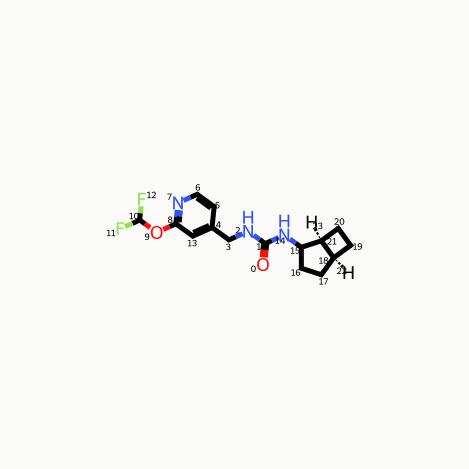 O=C(NCc1ccnc(OC(F)F)c1)NC1CC[C@@H]2CC[C@H]12